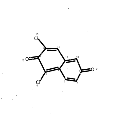 O=C1C=CC2=C(Cl)C(=O)C(Cl)=CC2=C1